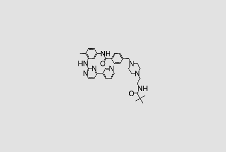 Cc1ccc(NC(=O)c2ccc(CN3CCN(CCNC(=O)C(C)(C)C)CC3)cc2)cc1Nc1nccc(-c2cccnc2)n1